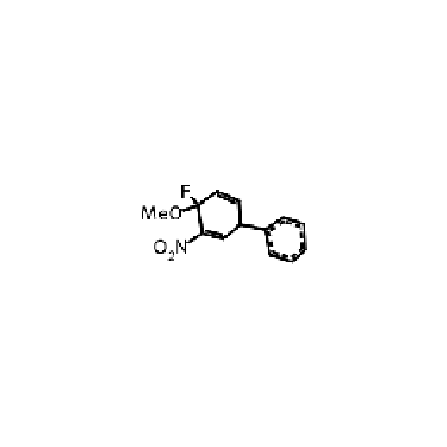 COC1(F)C=CC(c2ccccc2)C=C1[N+](=O)[O-]